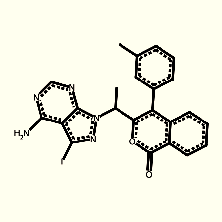 Cc1cccc(-c2c(C(C)n3nc(I)c4c(N)ncnc43)oc(=O)c3ccccc23)c1